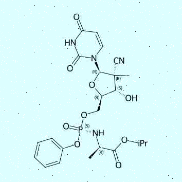 CC(C)OC(=O)[C@@H](C)N[P@](=O)(OC[C@H]1O[C@@H](n2ccc(=O)[nH]c2=O)[C@](C)(C#N)[C@@H]1O)Oc1ccccc1